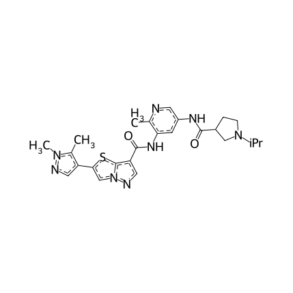 Cc1ncc(NC(=O)C2CCN(C(C)C)C2)cc1NC(=O)c1cnn2cc(-c3cnn(C)c3C)sc12